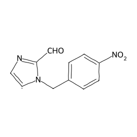 O=Cc1nc[c]n1Cc1ccc([N+](=O)[O-])cc1